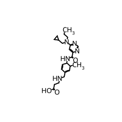 CCCN(CC1CC1)c1cc(C(=O)NC2C=CC(CNCCC(=O)O)=CC2C)ncn1